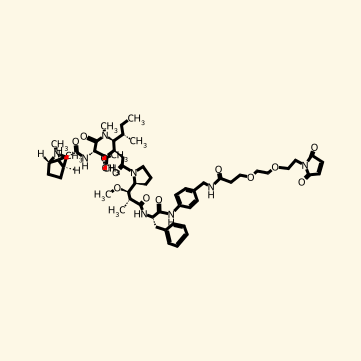 CC[C@H](C)[C@@H]([C@@H](CC(=O)N1CCC[C@H]1[C@H](OC)[C@@H](C)C(=O)N[C@@H](Cc1ccccc1)C(=O)Nc1ccc(CNC(=O)CCOCCOCCN2C(=O)C=CC2=O)cc1)OC)N(C)C(=O)[C@@H](NC(=O)[C@@H]1[C@H]2CC[C@@H]([C@H]2C)N1C)C(C)C